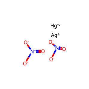 O=[N+]([O-])[O-].O=[N+]([O-])[O-].[Ag+].[Hg+]